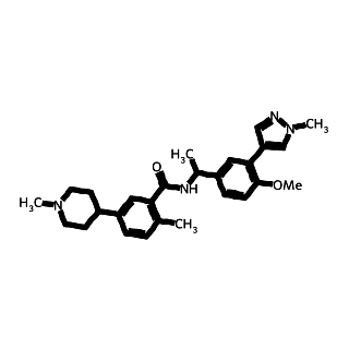 COc1ccc(C(C)NC(=O)c2cc(C3CCN(C)CC3)ccc2C)cc1-c1cnn(C)c1